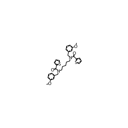 COc1cccc(CN(CCCCCN(Cc2cccc(OC)c2)C(=O)c2cccs2)C(=O)c2cccs2)c1